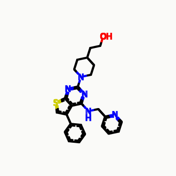 OCCC1CCN(c2nc(NCc3ccccn3)c3c(-c4ccccc4)csc3n2)CC1